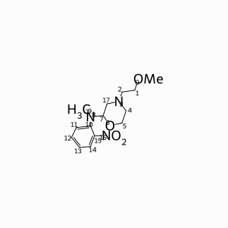 COCCN1CCOC(N(C)c2ccccc2[N+](=O)[O-])C1